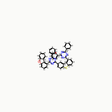 c1ccc(-c2nc(-c3ccc4sc5cccc(-c6nc(-c7ccccc7)nc(-c7ccccc7)n6)c5c4c3)nc(-c3cccc4oc5ccccc5c34)n2)cc1